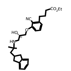 CCOC(=O)CCCc1cccc(OC[C@@H](O)CNC(C)(C)CC2Cc3ccccc3C2)c1C#N